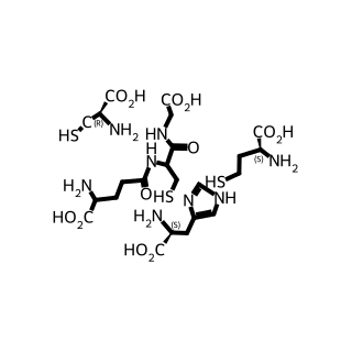 NC(CCC(=O)NC(CS)C(=O)NCC(=O)O)C(=O)O.N[C@@H](CCS)C(=O)O.N[C@@H](CS)C(=O)O.N[C@@H](Cc1c[nH]cn1)C(=O)O